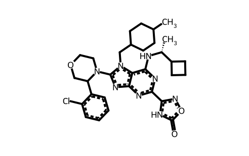 CC1CCC(Cn2c(N3CCOCC3c3ccccc3Cl)nc3nc(-c4noc(=O)[nH]4)nc(N[C@H](C)C4CCC4)c32)CC1